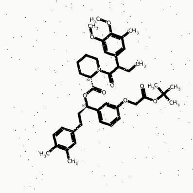 CCC(C(=O)N1CCCC[C@H]1C(=O)O[C@H](CCc1ccc(C)c(C)c1)c1cccc(OCC(=O)OC(C)(C)C)c1)c1cc(C)c(OC)c(OC)c1